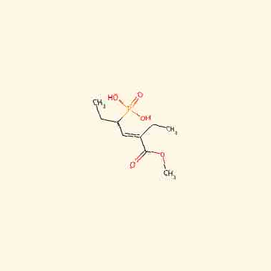 CCC(=CC(CC)P(=O)(O)O)C(=O)OC